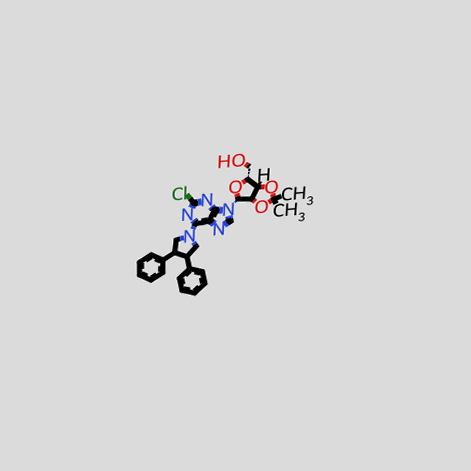 CC1(C)OC2[C@@H](O1)[C@@H](CO)O[C@H]2n1cnc2c(N3CC(c4ccccc4)C(c4ccccc4)C3)nc(Cl)nc21